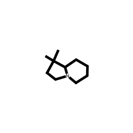 CC1(C)CCN2CCCCC21